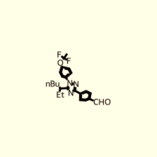 CCCCC(CC)c1nc(-c2ccc(C=O)cc2)nn1-c1ccc(OC(C)(F)F)cc1